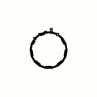 C1=CC=CC=CC=NN=NNOC=CC=CC=C1